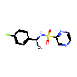 O=S(=O)(N[C@H](c1ccc(F)cc1)C(F)(F)F)c1cnccn1